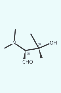 [CH2][C@@](C)(O)[C@@H](C=O)N(C)C